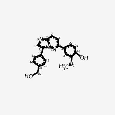 COc1cc(-c2ccc3ncc(-c4ccc(CO)cc4)n3n2)ccc1O